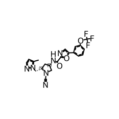 Cc1ccnn1C[C@@H]1C[C@@H](NC(=O)c2ncc(-c3cccc(OC(F)(F)F)c3)o2)CN1C#N